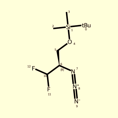 CC(C)(C)[Si](C)(C)OC[C@@H](N=[N+]=[N-])C(F)F